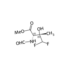 COC(=O)[C@@H](NC=O)[C@](C)(O)C(F)F